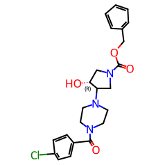 O=C(OCc1ccccc1)N1CC(N2CCN(C(=O)c3ccc(Cl)cc3)CC2)[C@H](O)C1